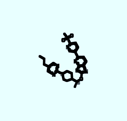 CCCc1cnc(N2CCC([C@H](C)Oc3nc4ccc(-c5ccc(S(C)(=O)=O)nc5)nc4s3)CC2)nc1